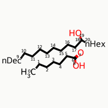 CCCCCCC(=O)O.CCCCCCCCCCCCCCCCCCC(O)CCCCCC